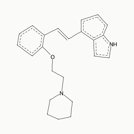 C(=Cc1cccc2[nH]ccc12)c1ccccc1OCCN1CCCCC1